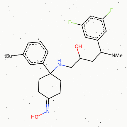 CNC(CC(O)CNC1(c2cccc(C(C)(C)C)c2)CCC(=NO)CC1)c1cc(F)cc(F)c1